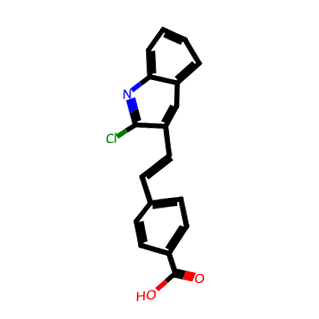 O=C(O)c1ccc(C=Cc2cc3ccccc3nc2Cl)cc1